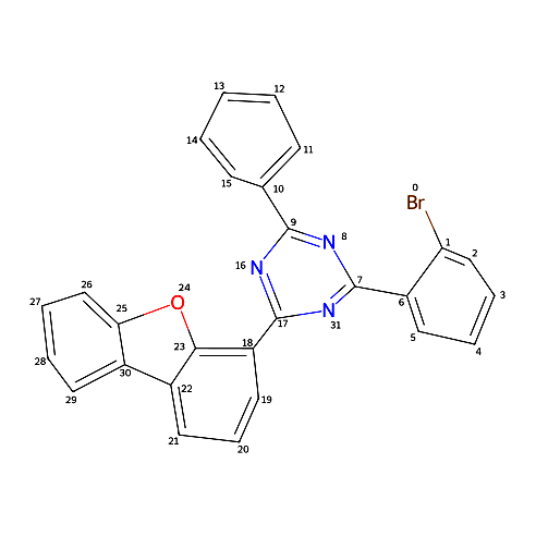 Brc1ccccc1-c1nc(-c2ccccc2)nc(-c2cccc3c2oc2ccccc23)n1